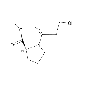 COC(=O)[C@@H]1CCCN1C(=O)CCO